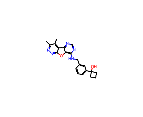 Cc1nnc2oc3c(NCc4cccc(C5(O)CCC5)c4)ncnc3c2c1C